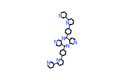 c1cncc(-c2cccc(-c3ccc(/C4=N/c5cnccc5/C(c5ccc(-c6cccc(-c7cccnc7)n6)cc5)=N\c5cnccc54)cc3)n2)c1